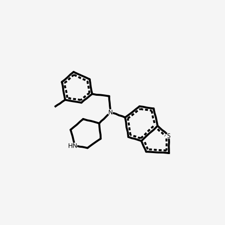 Cc1cccc(CN(c2ccc3sccc3c2)C2CCNCC2)c1